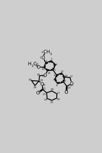 COc1ccc(-c2ccc3c(c2)COC3=O)c(OCC2(OC(=O)C3CCCCC3)CC2)c1OC